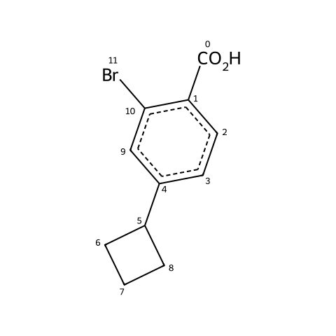 O=C(O)c1ccc(C2CCC2)cc1Br